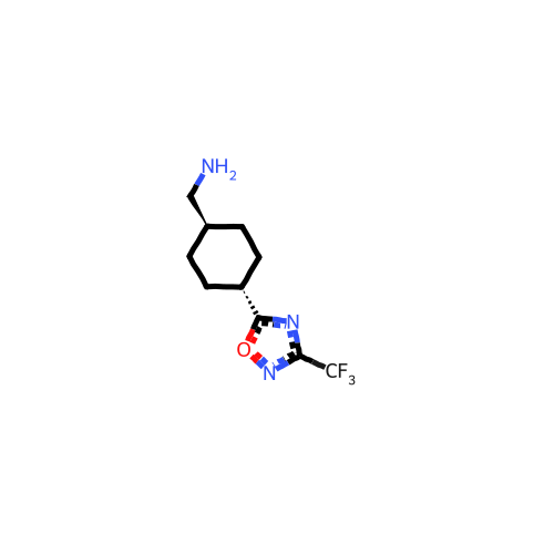 NC[C@H]1CC[C@H](c2nc(C(F)(F)F)no2)CC1